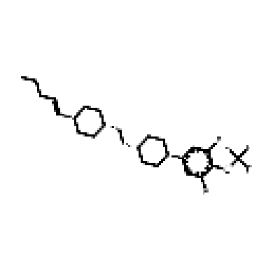 CCC/C=C/[C@H]1CC[C@H](CC[C@H]2CC[C@H](c3cc(F)c(OC(F)(F)F)c(F)c3)CC2)CC1